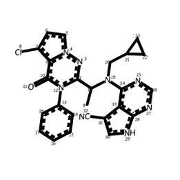 CC(c1nn2ccc(Cl)c2c(=O)n1-c1ccccc1)N(CC1CC1)c1ncnc2[nH]cc(C#N)c12